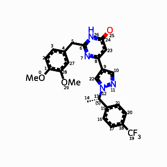 COc1ccc(Cc2nc(-c3cnn([C@@H](C)c4ccc(C(F)(F)F)cc4)c3)cc(=O)[nH]2)cc1OC